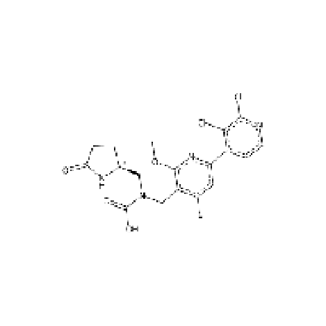 COc1nc(-c2ccnc(Cl)c2Cl)cc(F)c1CN(C[C@@H]1CCC(=O)N1)C(=O)O